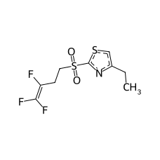 CCc1csc(S(=O)(=O)CCC(F)=C(F)F)n1